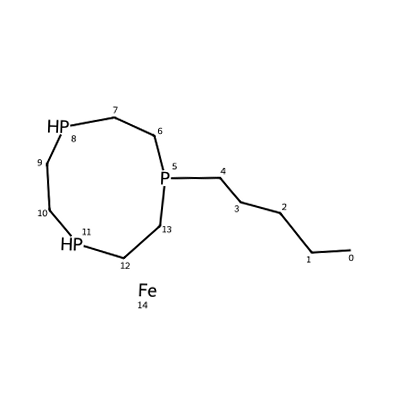 CCCCCP1CCPCCPCC1.[Fe]